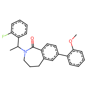 COc1ccccc1-c1ccc2c(c1)CCCN(C(C)c1ccccc1F)C2=O